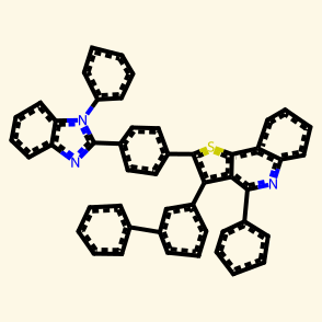 c1ccc(-c2cccc(-c3c(-c4ccc(-c5nc6ccccc6n5-c5ccccc5)cc4)sc4c3c(-c3ccccc3)nc3ccccc34)c2)cc1